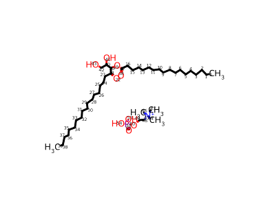 CCCCCCCCCCCCCCCCCC(=O)OC(C(=O)CCCCCCCCCCCCCCCCC)C(O)CO.C[N+](C)(C)CCOP(=O)(O)O